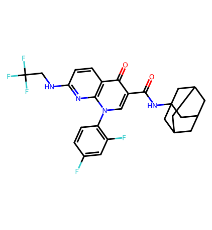 O=C(NC12CC3CC(CC(C3)C1)C2)c1cn(-c2ccc(F)cc2F)c2nc(NCC(F)(F)F)ccc2c1=O